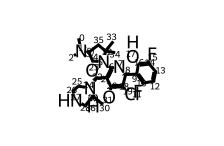 CN(C)[C@@H]1CN(c2nc(-c3c(F)ccc(F)c3O)c(Cl)c3c2C(=O)N2CCNC[C@@H]2CO3)C(C)(C)C1